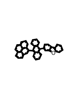 c1cc2ccc3cccc4c(-c5c6ccccc6c(-c6ccc7c(c6)oc6ccccc67)c6ccccc56)cc(c1)c2c34